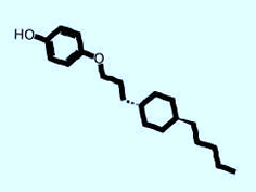 CCCCC[C@H]1CC[C@H](CCCOc2ccc(O)cc2)CC1